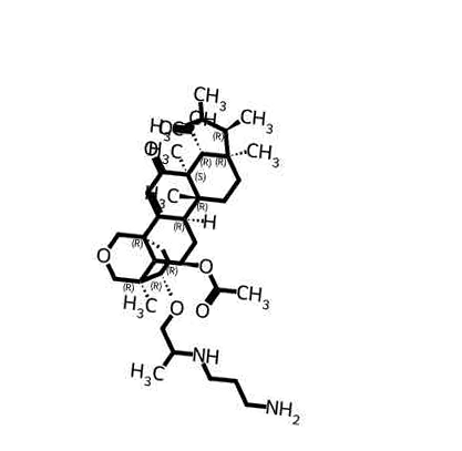 CC(=O)O[C@@H]1C[C@@]23COC[C@@](C)(C2CC[C@H]2C3=CC(=O)[C@@]3(C)[C@H](C(=O)O)[C@@](C)([C@H](C)C(C)C)CC[C@]23C)[C@H]1OCC(C)NCCCN